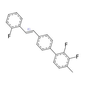 Cc1ccc(-c2ccc(/C=C/c3ccccc3F)cc2)c(F)c1F